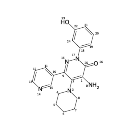 Nc1c(N2CCCCC2)c(-c2cccnc2)nn(-c2cccc(O)c2)c1=O